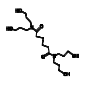 O=C(CCCCC(=O)N(CCCO)CCCO)N(CCCO)CCCO